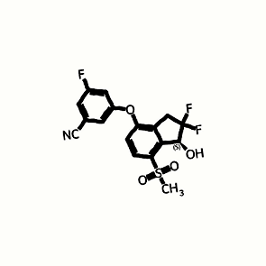 CS(=O)(=O)c1ccc(Oc2cc(F)cc(C#N)c2)c2c1[C@H](O)C(F)(F)C2